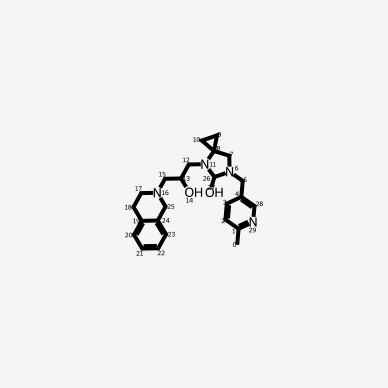 Cc1ccc(CN2CC3(CC3)N(CC(O)CN3CCc4ccccc4C3)C2O)cn1